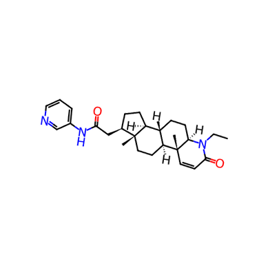 CCN1C(=O)C=C[C@]2(C)[C@H]3CC[C@]4(C)[C@@H](CC(=O)Nc5cccnc5)CC[C@H]4[C@@H]3CC[C@@H]12